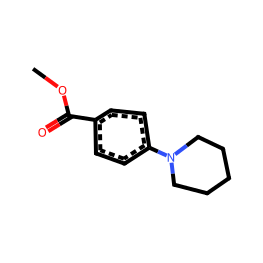 COC(=O)c1ccc(N2CCCCC2)cc1